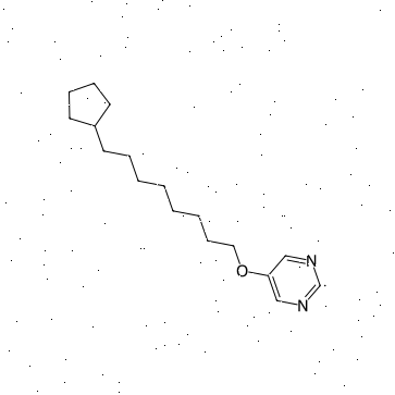 [c]1ncc(OCCCCCCCCC2CCCC2)cn1